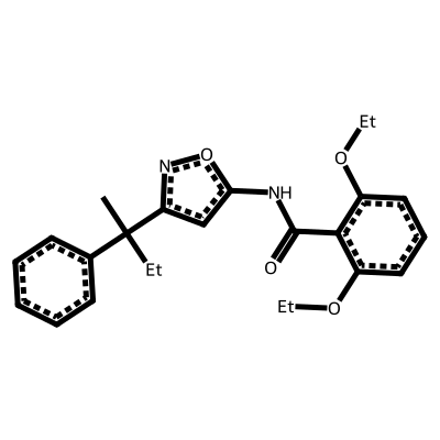 CCOc1cccc(OCC)c1C(=O)Nc1cc(C(C)(CC)c2ccccc2)no1